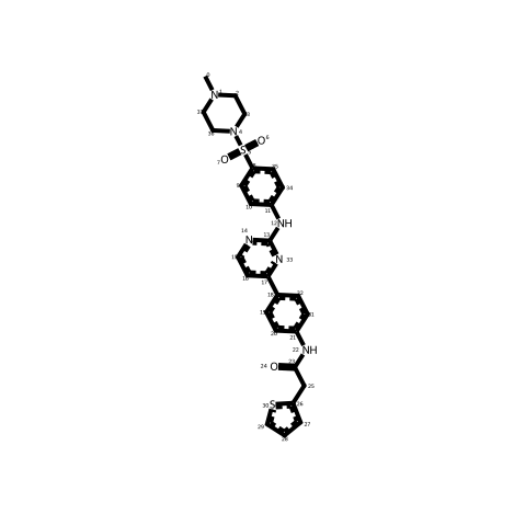 CN1CCN(S(=O)(=O)c2ccc(Nc3nccc(-c4ccc(NC(=O)Cc5cccs5)cc4)n3)cc2)CC1